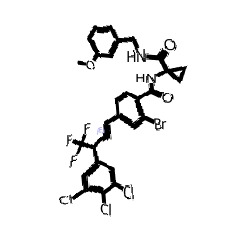 COc1cccc(CNC(=O)C2(NC(=O)c3ccc(/C=C/C(c4cc(Cl)c(Cl)c(Cl)c4)C(F)(F)F)cc3Br)CC2)c1